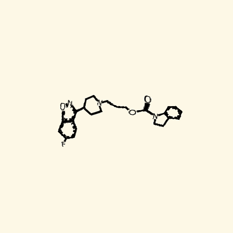 O=C(OCCCN1CCC(c2noc3cc(F)ccc23)CC1)N1CCc2ccccc21